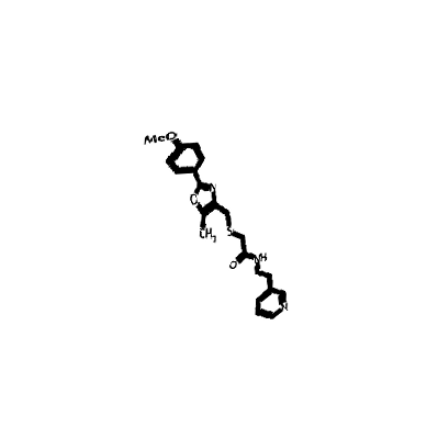 COc1ccc(-c2nc(CSCC(=O)NCCc3cccnc3)c(C)o2)cc1